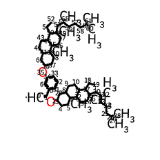 [CH]=C(OC1CC[C@@]2(C)C(CCC3C2CC[C@@]2(C)C3CC[C@@H]2[C@H](C)CCCC(C)C)C1)c1cc[c]c(OC2CC[C@@]3(C)C(CCC4C3CC[C@@]3(C)C4CC[C@@H]3[C@H](C)CCCC(C)C)C2)c1